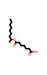 CCCCCCCC(C)OC(=O)CCCCCC(=O)O